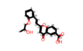 CC(O)COc1ccccc1C=Cc1cc(=O)c2cc(C(=O)O)ccc2o1